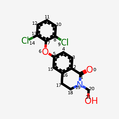 O=C1c2ccc(Oc3c(Cl)cccc3Cl)cc2CCN1CO